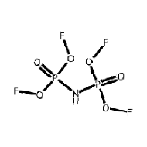 O=P(NP(=O)(OF)OF)(OF)OF